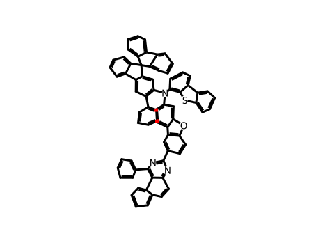 c1ccc(-c2cc3c(cc2N(c2ccc4c(c2)oc2ccc(-c5nc(-c6ccccc6)c6c(ccc7ccccc76)n5)cc24)c2cccc4c2sc2ccccc24)C2(c4ccccc4-c4ccccc42)c2ccccc2-3)cc1